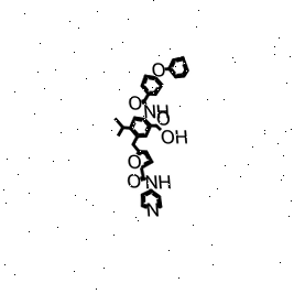 CC(C)c1cc(NC(=O)c2ccc(Oc3ccccc3)cc2)c(C(=O)O)cc1Cc1ccc(C(=O)Nc2ccncc2)o1